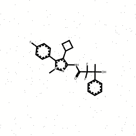 Cn1nc(NC(=O)C(F)(F)C(C)(O)c2ccccc2)c(C2CCC2)c1-c1ccc(F)cc1